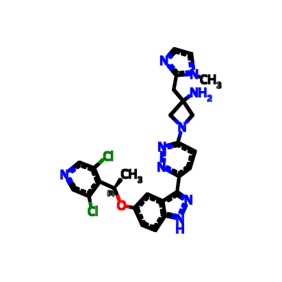 C[C@@H](Oc1ccc2[nH]nc(-c3ccc(N4CC(N)(Cc5nccn5C)C4)nn3)c2c1)c1c(Cl)cncc1Cl